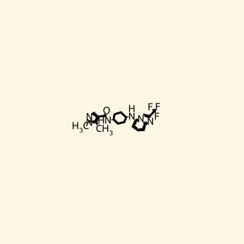 Cc1c(C(=O)N[C@H]2CC[C@@H](Nc3cccc4nc(C(F)(F)F)cn34)CC2)cnn1C